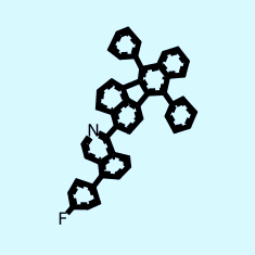 Fc1ccc(-c2cccc3c(-c4ccc5c6c(cccc46)-c4c-5c(-c5ccccc5)c5ccccc5c4-c4ccccc4)nccc23)cc1